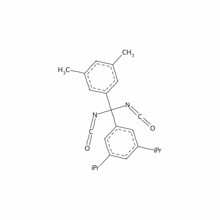 Cc1cc(C)cc(C(N=C=O)(N=C=O)c2cc(C(C)C)cc(C(C)C)c2)c1